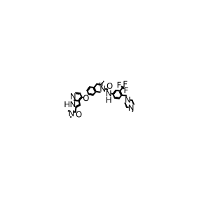 C[C@@H]1Cc2ccc(Oc3ccnc4[nH]c(C(=O)N(C)C)cc34)cc2CN1C(=O)Nc1ccc(CN2CCN(C)CC2)c(C(F)(F)F)c1